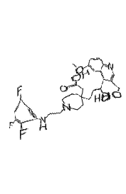 COc1ccc2ncc(CO)c(C(O)CCC3(CC(=O)O)CCN(CCNc4cc(F)cc(F)c4F)CC3)c2c1